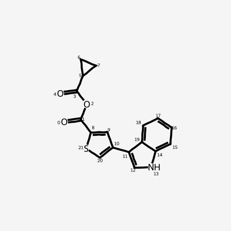 O=C(OC(=O)C1CC1)c1cc(-c2c[nH]c3ccccc23)cs1